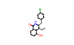 CCc1c(Cc2ccc(Br)cc2)[nH]c(=O)c2cccc(O)c12